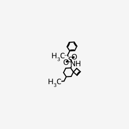 CCC1CCC(NS(=O)(=O)[C@H](C)c2ccccc2)C2(C=CC2)C1